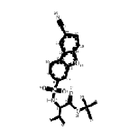 CC(C)C(NS(=O)(=O)c1ccc2c(c1)oc1ccc(C#N)cc12)C(=O)OC(C)(C)C